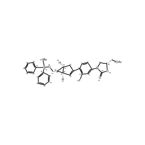 CC(=O)OC[C@H]1CN(c2ccc(C3=C[C@H]4[C@H](CO[Si](c5ccccc5)(c5ccccc5)C(C)(C)C)[C@H]4C3)c(F)c2)C(=O)O1